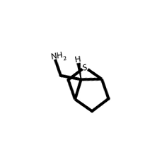 NC[C@H]1C2CCC1SC2